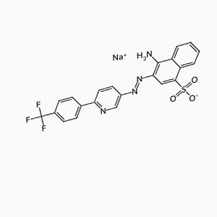 Nc1c(N=Nc2ccc(-c3ccc(C(F)(F)F)cc3)nc2)cc(S(=O)(=O)[O-])c2ccccc12.[Na+]